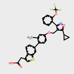 Cc1cc(OCc2c(-c3ccccc3OC(F)(F)F)noc2C2CC2)ccc1-c1ccc2c(CC(=O)O)csc2c1